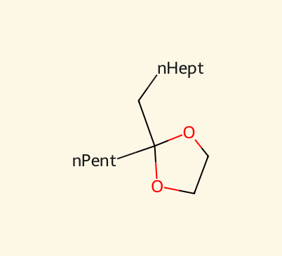 CCCCCCCCC1(CCCCC)OCCO1